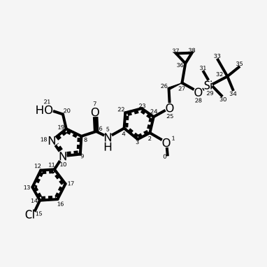 COc1cc(NC(=O)c2cn(-c3ccc(Cl)cc3)nc2CO)ccc1OC[C@H](O[Si](C)(C)C(C)(C)C)C1CC1